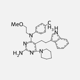 COCCN(c1ccc(C)cc1)c1nc(N)nc(N2CCCCC2)c1CCc1c[nH]c2ccccc12